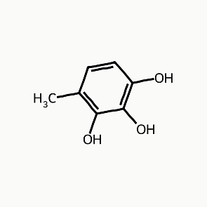 Cc1ccc(O)c(O)c1O